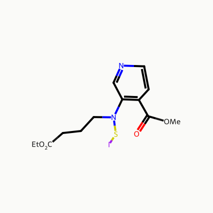 CCOC(=O)CCCN(SI)c1cnccc1C(=O)OC